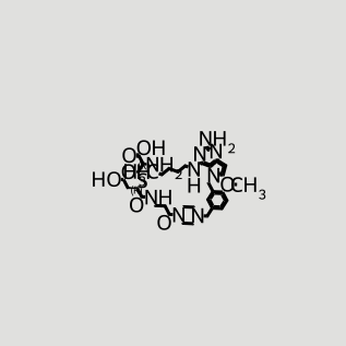 CCCCCNc1nc(N)nc2ccn(Cc3cc(CN4CCN(C(=O)CCNC(=O)[C@@H](CC(O)O)SC[C@H](N)C(=O)O)CC4)ccc3OC)c12